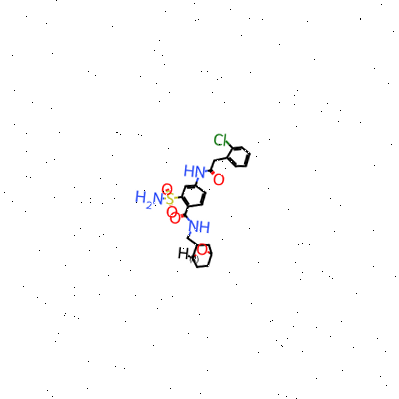 NS(=O)(=O)c1cc(NC(=O)Cc2ccccc2Cl)ccc1C(=O)NCC1CC2CC[C@H]1O2